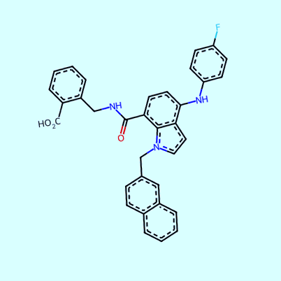 O=C(O)c1ccccc1CNC(=O)c1ccc(Nc2ccc(F)cc2)c2ccn(Cc3ccc4ccccc4c3)c12